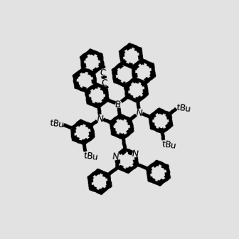 CC(C)(C)c1cc(N2c3cc(-c4nc(-c5ccccc5)cc(-c5ccccc5)n4)cc4c3B(c3c2cc2ccc5cccc6ccc3c2c56)c2c(cc3ccc5cccc6ccc2c3c56)N4c2cc(C(C)(C)C)cc(C(C)(C)C)c2)cc(C(C)(C)C)c1